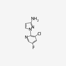 Nc1ccn(-c2ncc(F)cc2Cl)n1